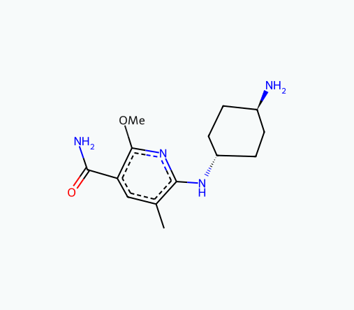 COc1nc(N[C@H]2CC[C@H](N)CC2)c(C)cc1C(N)=O